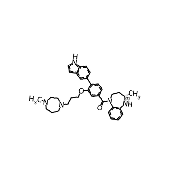 C[C@H]1CCN(C(=O)c2ccc(-c3ccc4[nH]ccc4c3)c(OCCCN3CCCN(C)CC3)c2)c2ccccc2N1